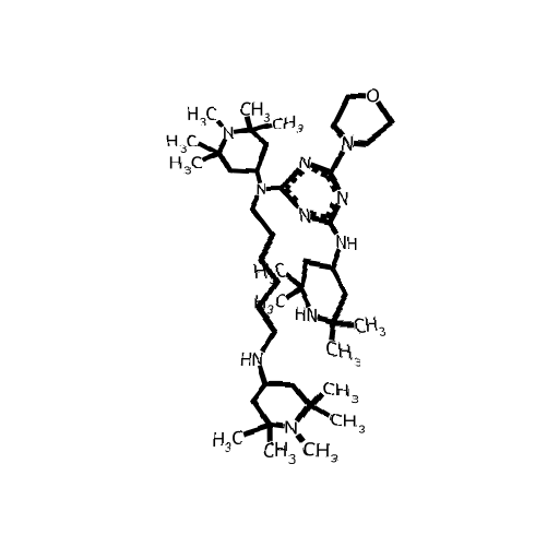 CN1C(C)(C)CC(NCCCCCCN(c2nc(NC3CC(C)(C)NC(C)(C)C3)nc(N3CCOCC3)n2)C2CC(C)(C)N(C)C(C)(C)C2)CC1(C)C